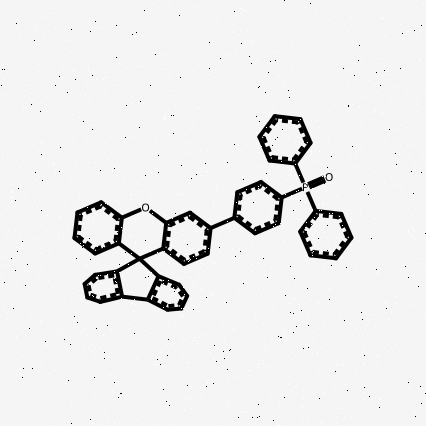 O=P(c1ccccc1)(c1ccccc1)c1ccc(-c2ccc3c(c2)Oc2ccccc2C32c3ccccc3-c3ccccc32)cc1